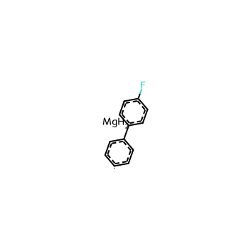 Fc1ccc(-c2cc[c]cc2)cc1.[MgH2]